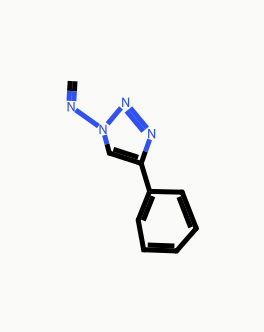 C=Nn1cc(-c2ccccc2)nn1